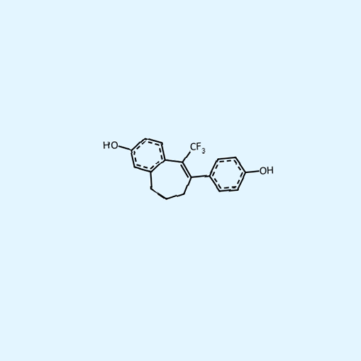 Oc1ccc(C2=C(C(F)(F)F)c3ccc(O)cc3CCC2)cc1